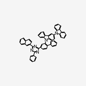 c1ccc(-c2nc(-c3ccc(-c4ccccc4)c(-n4c5ccccc5c5cc(-n6c7ccccc7c7ccccc76)ccc54)c3)nc(-c3ccc4ccccc4c3)n2)cc1